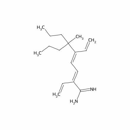 C=C/C(=C\C=C(/C=C)C(C)(CCC)CCC)C(=N)N